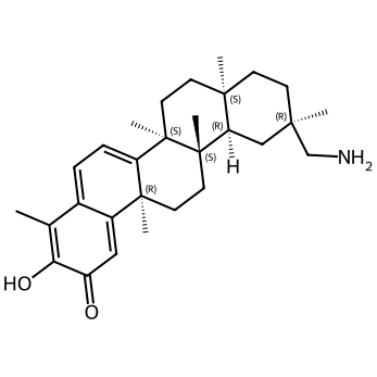 CC1=C(O)C(=O)C=C2C1=CC=C1[C@@]2(C)CC[C@@]2(C)[C@@H]3C[C@](C)(CN)CC[C@]3(C)CC[C@]12C